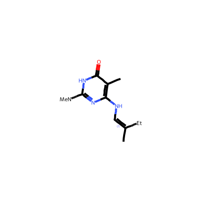 CC/C(C)=C\Nc1nc(NC)[nH]c(=O)c1C